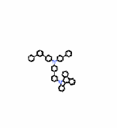 c1ccc(-c2ccc(N(c3ccc(-c4cccc(-c5ccccc5)c4)cc3)c3ccc(-c4cccc(-n5c6ccccc6c6c7ccccc7c7ccccc7c65)c4)cc3)cc2)cc1